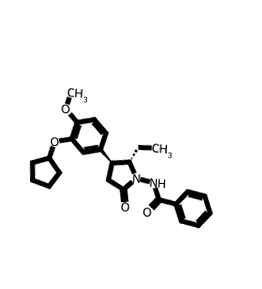 CC[C@H]1[C@H](c2ccc(OC)c(OC3CCCC3)c2)CC(=O)N1NC(=O)c1ccccc1